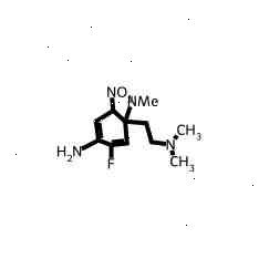 CNC1(CCN(C)C)C=C(F)C(N)=CC1[N+](=O)[O-]